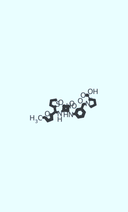 Cc1ccc(C(Nc2c(Nc3cccc(C(=O)N4CCC[C@@H]4C(=O)O)c3O)c(=O)c2=O)C2CCCS2)o1